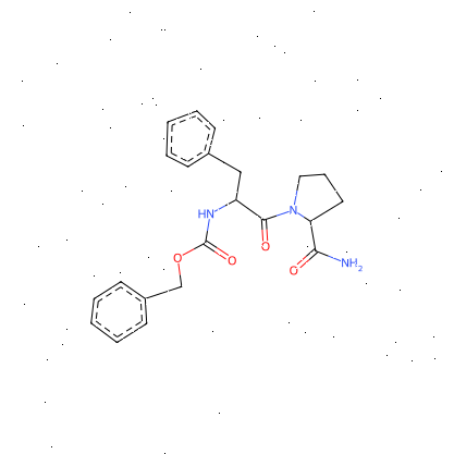 NC(=O)C1CCCN1C(=O)C(Cc1ccccc1)NC(=O)OCc1ccccc1